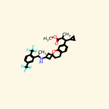 COC(=O)C(C)C(c1ccc2c(c1)OC1(CC2)CC(N[C@@H](C)c2cc(C(F)(F)F)ccc2C(F)(F)F)C1)C1CC1